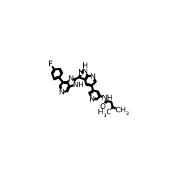 CC(C)CC(=O)Nc1cncc(-c2cnc3[nH]nc(-c4nc5c(-c6ccc(F)cc6)cncc5[nH]4)c3c2)c1